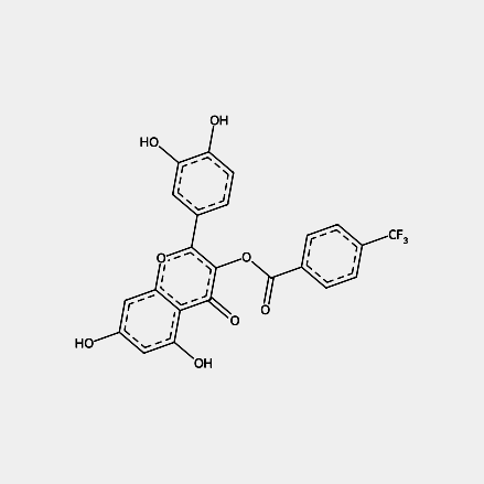 O=C(Oc1c(-c2ccc(O)c(O)c2)oc2cc(O)cc(O)c2c1=O)c1ccc(C(F)(F)F)cc1